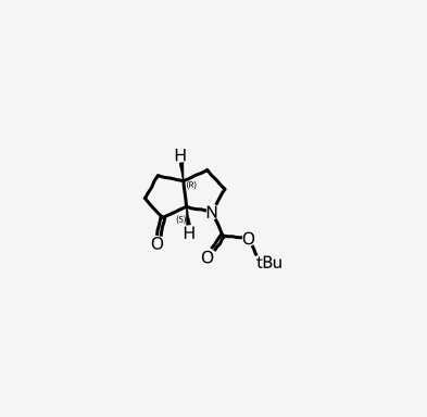 CC(C)(C)OC(=O)N1CC[C@H]2CCC(=O)[C@H]21